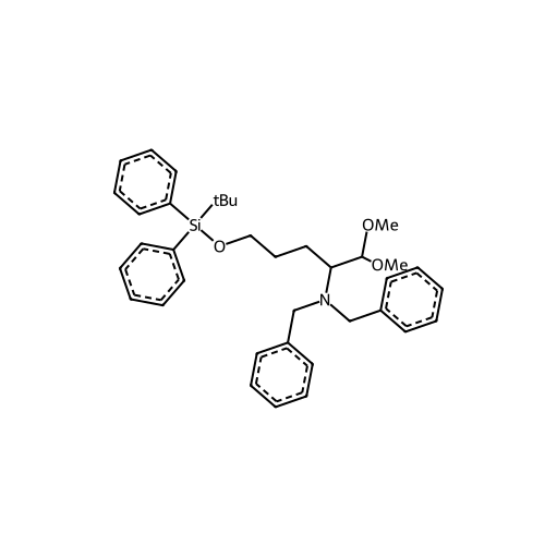 COC(OC)C(CCCO[Si](c1ccccc1)(c1ccccc1)C(C)(C)C)N(Cc1ccccc1)Cc1ccccc1